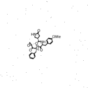 COc1ccc(CC(NC(=O)[C@H]2CNC(=O)C2)C(=O)N[C@H](Cc2ccccc2)C(=O)[C@]2(C)CO2)cc1